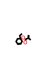 C=C(C)C(=O)OC1(CC)CC=CCC1